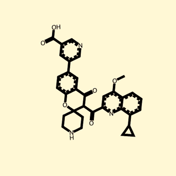 COc1cc(C(=O)C2C(=O)c3cc(-c4cncc(C(=O)O)c4)ccc3OC23CCNCC3)nc2c(C3CC3)cccc12